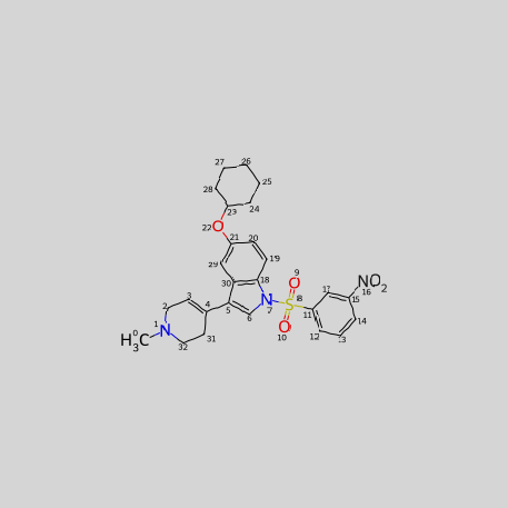 CN1CC=C(c2cn(S(=O)(=O)c3cccc([N+](=O)[O-])c3)c3ccc(OC4CCCCC4)cc23)CC1